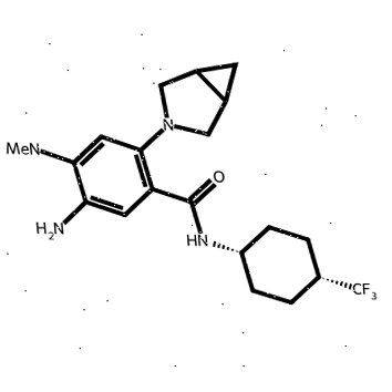 CNc1cc(N2CC3CC3C2)c(C(=O)N[C@H]2CC[C@@H](C(F)(F)F)CC2)cc1N